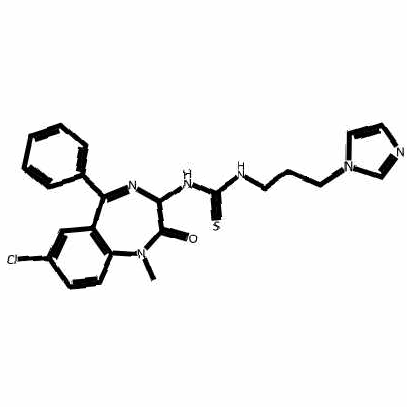 CN1C(=O)C(NC(=S)NCCCn2ccnc2)N=C(c2ccccc2)c2cc(Cl)ccc21